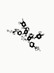 CN[C@H]1CC[C@H](Oc2cc3c(Nc4ccc(F)c(Cl)c4)ncnc3cc2OC)CC1.COc1cc2ncnc(Nc3ccc(F)c(Cl)c3)c2cc1O[C@H]1CC[C@@H](N(C)C(C)=O)CC1